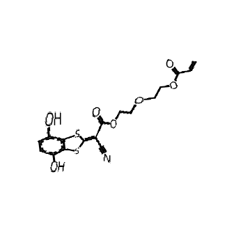 C=CC(=O)OCCOCCOC(=O)C(C#N)=C1Sc2c(O)ccc(O)c2S1